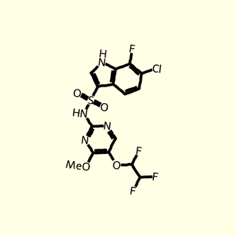 COc1nc(NS(=O)(=O)c2c[nH]c3c(F)c(Cl)ccc23)ncc1OC(F)C(F)F